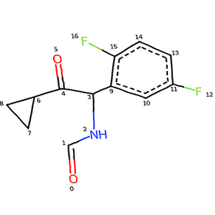 O=CNC(C(=O)C1CC1)c1cc(F)ccc1F